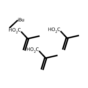 C=C(C)C(=O)O.C=C(C)C(=O)O.C=C(C)C(=O)O.CCC(C)C